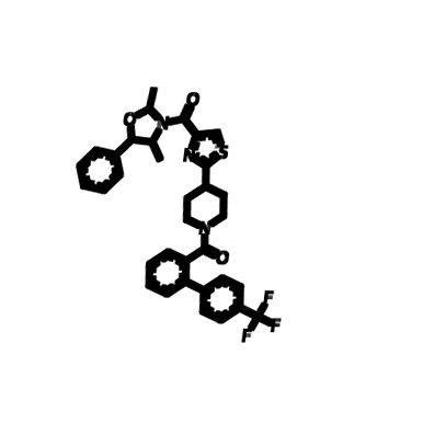 CC1OC(c2ccccc2)C(C)N1C(=O)c1csc(C2CCN(C(=O)c3ccccc3-c3ccc(C(F)(F)F)cc3)CC2)n1